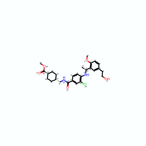 COc1ccc(CCO)cc1[C@H](C)Nc1ccc(C(=O)NC[C@H]2CC[C@H](C(=O)OC)CC2)cc1Cl